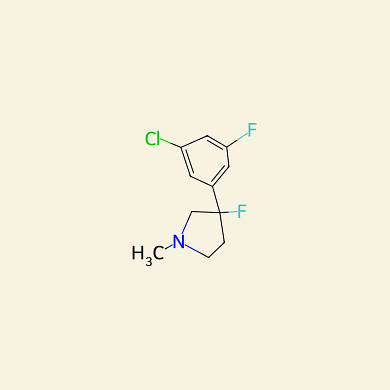 CN1CCC(F)(c2cc(F)cc(Cl)c2)C1